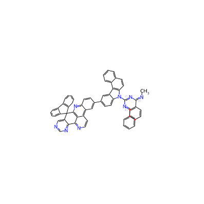 C\N=C(/N=C(\N=C\c1ccccc1)n1c2ccc(-c3ccc4nc5c6c(nccc6c4c3)-c3ncncc3C53C4=C(C=CC=CC4)c4ccccc43)cc2c2c3ccccc3ccc21)c1ccccc1